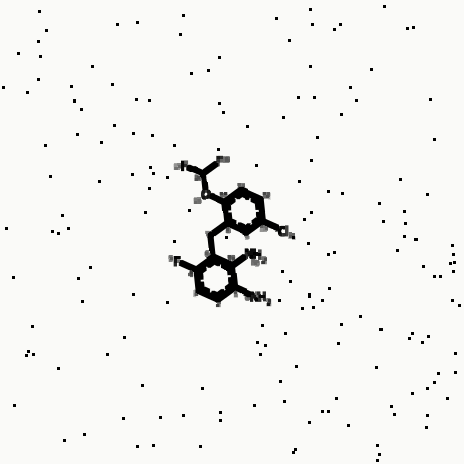 Nc1ccc(F)c(Cc2cc(Cl)ccc2OC(F)F)c1N